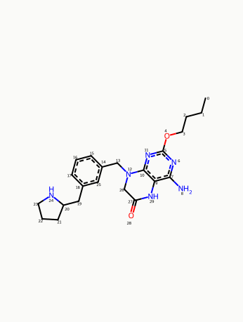 CCCCOc1nc(N)c2c(n1)N(Cc1cccc(CC3CCCN3)c1)CC(=O)N2